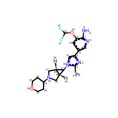 CC(C)c1nc(-c2cnc(N)c(OC(F)F)c2)cn1[C@H]1[C@@H]2CN(C3CCOCC3)C[C@@H]21